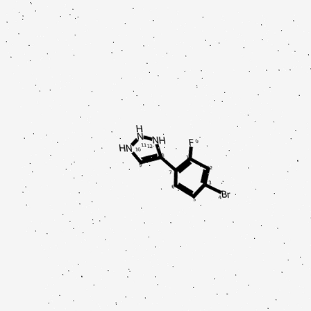 Fc1cc(Br)ccc1C1=CNNN1